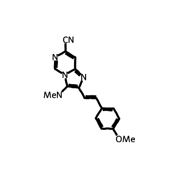 CNc1c(/C=C/c2ccc(OC)cc2)nc2cc(C#N)ncn12